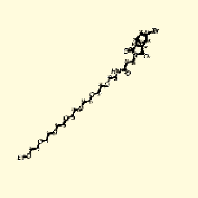 CCOCCOCCOCCOCCOCCOCCOCCNC(=O)CCN1C(=O)C2C3C=C(C(C)C)C(C3)C2C1=O